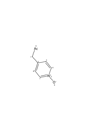 CC(=O)Cc1cc[n+]([O-])cc1